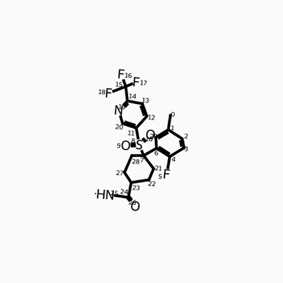 Cc1ccc(F)c(C2(S(=O)(=O)c3ccc(C(F)(F)F)nc3)CCC(C([NH])=O)CC2)c1